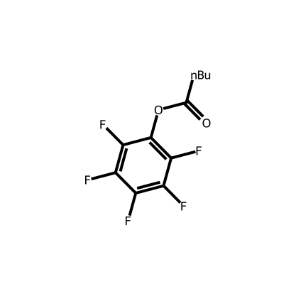 CCCCC(=O)Oc1c(F)c(F)c(F)c(F)c1F